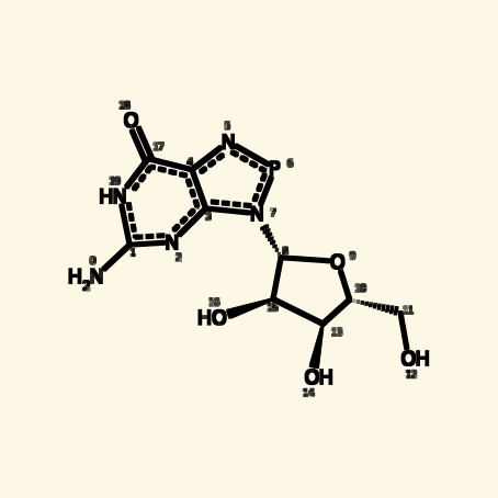 Nc1nc2c(npn2[C@@H]2O[C@H](CO)[C@@H](O)[C@H]2O)c(=O)[nH]1